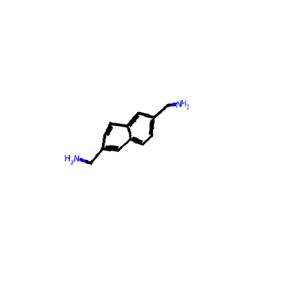 NCc1ccc2cc(CN)ccc2c1